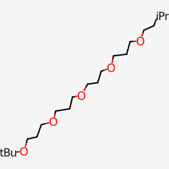 CC(C)CCOCCCOCCCOCCCOCCCOC(C)(C)C